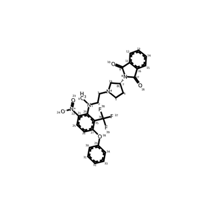 CN(CCN1CC[C@@H](N2C(=O)c3ccccc3C2=O)C1)c1c([N+](=O)[O-])ccc(Oc2ccccc2)c1C(F)(F)F